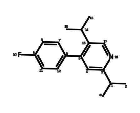 CC(C)c1[c]c(-c2ccc(F)cc2)c(C(C)C)cn1